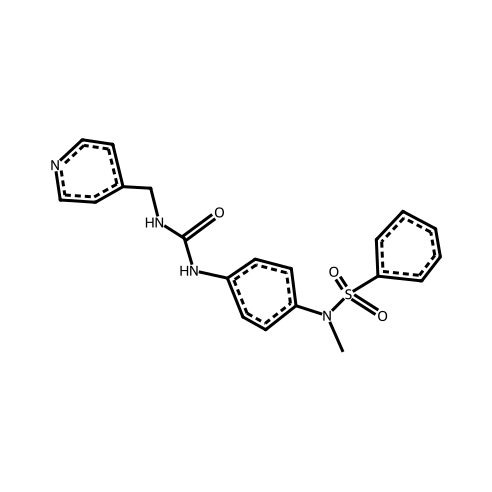 CN(c1ccc(NC(=O)NCc2ccncc2)cc1)S(=O)(=O)c1ccccc1